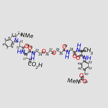 CNCc1cc2ccccc2n1CCC(=O)N[C@@H](CCC(=O)O)C(=O)NCCOCCOCCC(=O)NCC(=O)N[C@@H](C)C(=O)Nc1ccc(COC(=O)NC)cc1